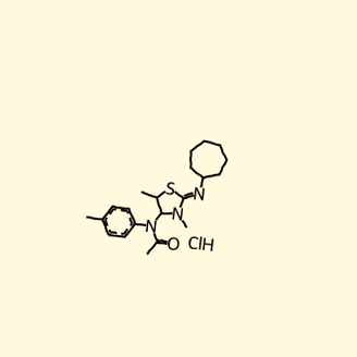 CC(=O)N(c1ccc(C)cc1)C1C(C)SC(=NC2CCCCCC2)N1C.Cl